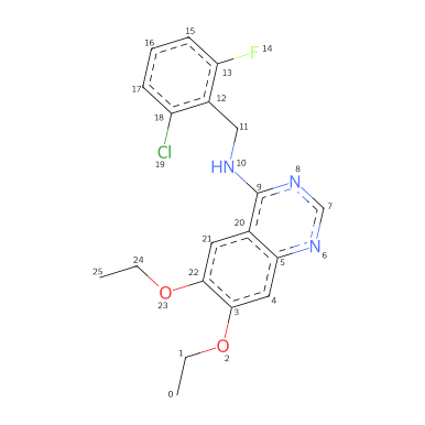 CCOc1cc2ncnc(NCc3c(F)cccc3Cl)c2cc1OCC